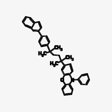 CC(C)(CCC(C)(C)c1ccc2c(c1)Oc1ccccc1N2c1ccccc1)c1ccc(-c2ccc3ccccc3c2)cc1